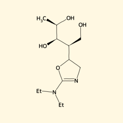 CCN(CC)C1=NCC([C@H](CO)[C@@H](O)[C@@H](C)O)O1